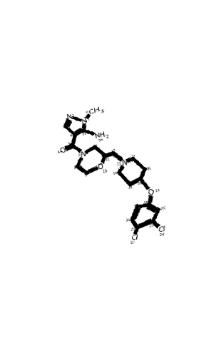 Cn1ncc(C(=O)N2CCOC(CN3CCC(Oc4ccc(Cl)c(Cl)c4)CC3)C2)c1N